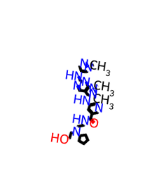 Cc1ncc(C(=O)NCCN(CCO)C2CCCC2)cc1Nc1nn(C)c2nc(Nc3cnn(C)c3)ncc12